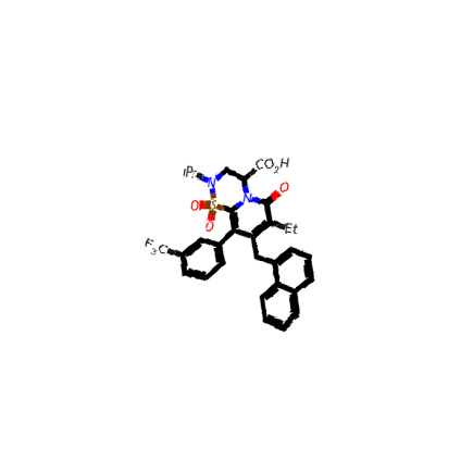 CCc1c(Cc2cccc3ccccc23)c(-c2cccc(C(F)(F)F)c2)c2n(c1=O)C(C(=O)O)CN(C(C)C)S2(=O)=O